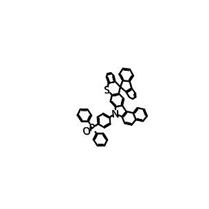 O=P(c1ccccc1)(c1ccccc1)c1ccc(-n2c3cc4c(cc3c3c5ccccc5ccc32)C2(C3=C(C=CCC3)c3ccccc32)c2ccccc2S4)cc1